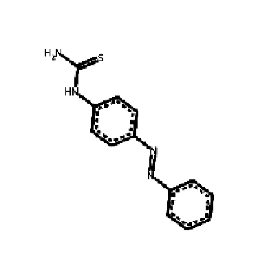 NC(=S)Nc1ccc(/N=N/c2ccccc2)cc1